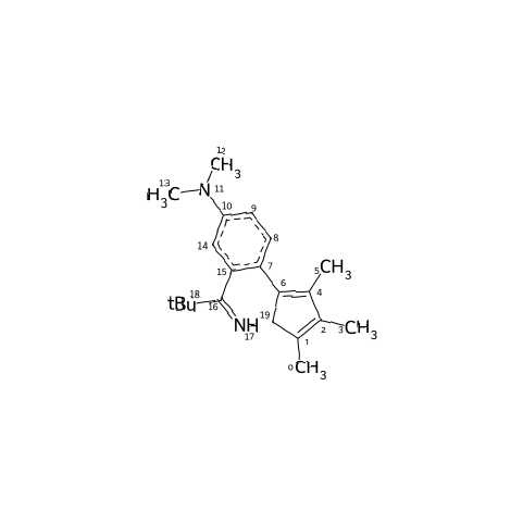 CC1=C(C)C(C)=C(c2ccc(N(C)C)cc2C(=N)C(C)(C)C)C1